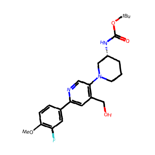 COc1ccc(-c2cc(CO)c(N3CCC[C@@H](NC(=O)OC(C)(C)C)C3)cn2)cc1F